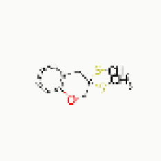 CSC1(SC)[CH]c2ccccc2OC1